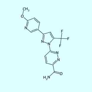 COc1ccc(-c2cc(C(F)(F)F)n(-c3ccc(C(N)=O)nn3)n2)cn1